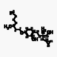 CC(C)CCCC(C)CCOc1ccc(CC[C@@](N)(CO)CC2CC2)c(O)c1